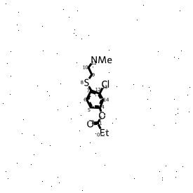 CCC(=O)Oc1ccc(SCCNC)c(Cl)c1